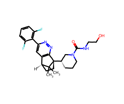 CC1(C)[C@H]2CC[C@]1([C@H]1CCCN(C(=O)NCCO)C1)c1nnc(-c3c(F)cccc3F)cc12